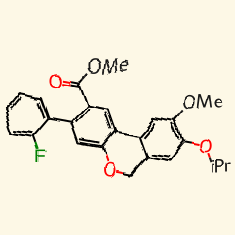 COC(=O)c1cc2c(cc1-c1ccccc1F)OCc1cc(OC(C)C)c(OC)cc1-2